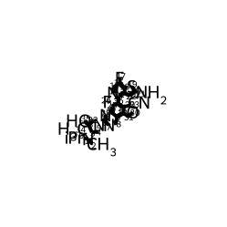 CC(C)N(C)C1CN(c2ncc3c4c(c(-c5ncc(F)c6sc(N)c(C#N)c56)c(F)c3n2)COC4)CC1(C)O